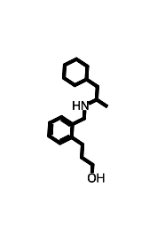 CC(CC1CCCCC1)NCc1ccccc1CCCO